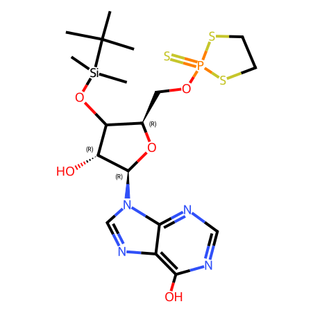 CC(C)(C)[Si](C)(C)OC1[C@@H](O)[C@H](n2cnc3c(O)ncnc32)O[C@@H]1COP1(=S)SCCS1